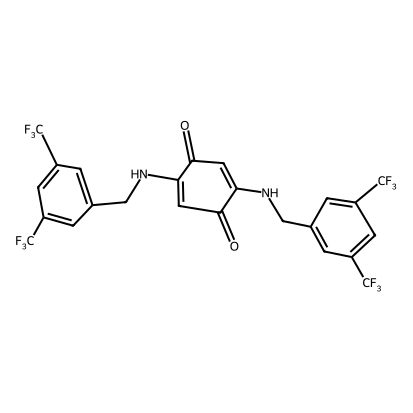 O=C1C=C(NCc2cc(C(F)(F)F)cc(C(F)(F)F)c2)C(=O)C=C1NCc1cc(C(F)(F)F)cc(C(F)(F)F)c1